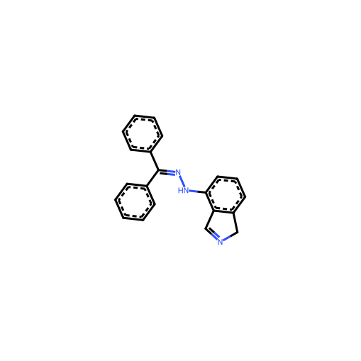 C1=NCc2cccc(NN=C(c3ccccc3)c3ccccc3)c21